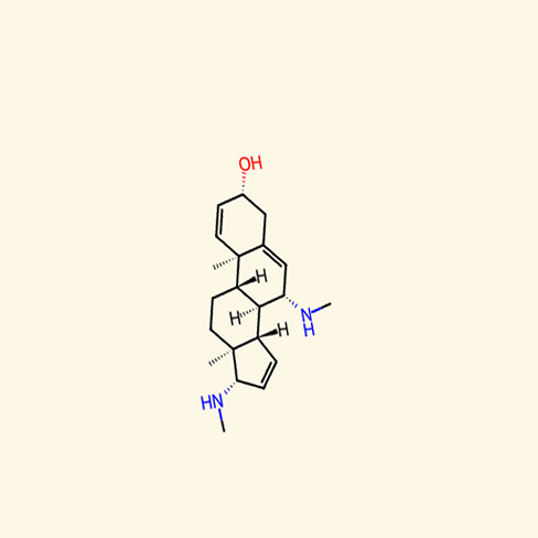 CN[C@H]1C=C2C[C@@H](O)C=C[C@]2(C)[C@H]2CC[C@]3(C)[C@@H](NC)C=C[C@H]3[C@H]12